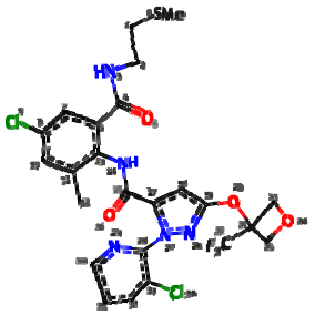 CSCCNC(=O)c1cc(Cl)cc(C)c1NC(=O)c1cc(OC2(C(F)(F)F)COC2)nn1-c1ncccc1Cl